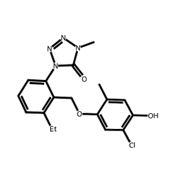 CCc1cccc(-n2nnn(C)c2=O)c1COc1cc(Cl)c(O)cc1C